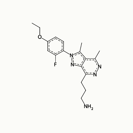 CCOc1ccc(-n2nc3c(CCCN)nnc(C)c3c2C)c(F)c1